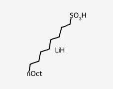 CCCCCCCCCCCCCCCCS(=O)(=O)O.[LiH]